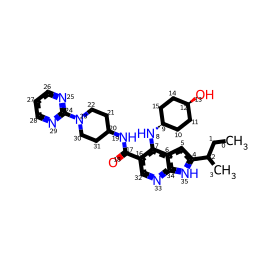 CCC(C)c1cc2c(N[C@H]3CC[C@H](O)CC3)c(C(=O)NC3CCN(c4ncccn4)CC3)cnc2[nH]1